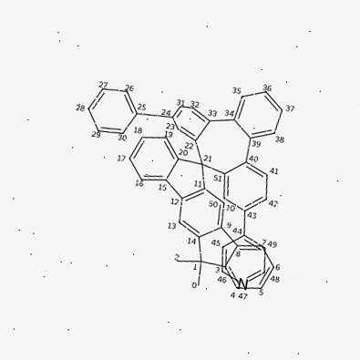 CC1(C)c2ccccc2-c2cc3c(cc21)-c1ccccc1C31c2cc(-c3ccccc3)ccc2-c2ccccc2-c2ccc(-c3ccncc3)cc21